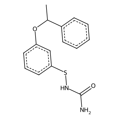 CC(Oc1cccc(SNC(N)=O)c1)c1ccccc1